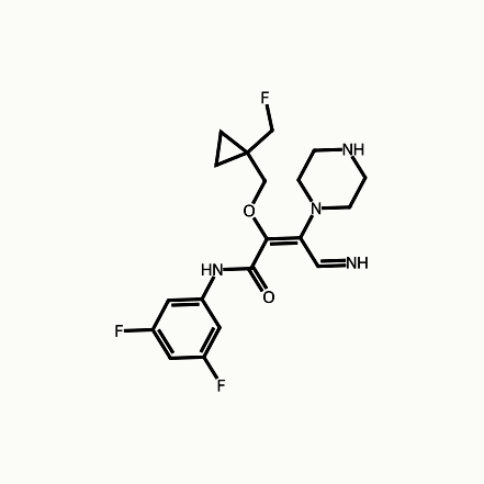 N=C/C(=C(/OCC1(CF)CC1)C(=O)Nc1cc(F)cc(F)c1)N1CCNCC1